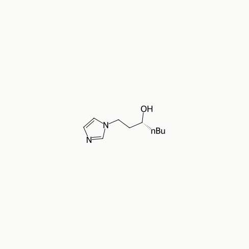 CCCC[C@@H](O)CCn1ccnc1